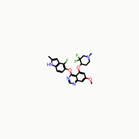 COc1cc(OC2CCN(C)CC2(F)F)c2c(Oc3ccc4[nH]c(C)cc4c3F)ncnc2c1